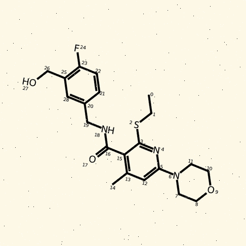 CCSc1nc(N2CCOCC2)cc(C)c1C(=O)NCc1ccc(F)c(CO)c1